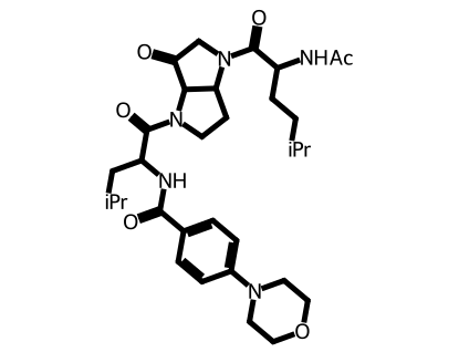 CC(=O)NC(CCC(C)C)C(=O)N1CC(=O)C2C1CCN2C(=O)C(CC(C)C)NC(=O)c1ccc(N2CCOCC2)cc1